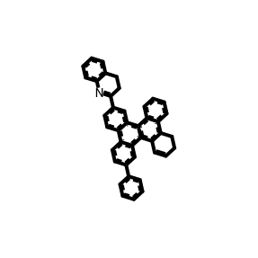 C1=Cc2c(c3ccccc3c3c4cc(C5=Nc6ccccc6CC5)ccc4c4ccc(-c5ccccc5)cc4c23)CC1